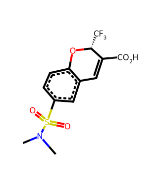 CN(C)S(=O)(=O)c1ccc2c(c1)C=C(C(=O)O)[C@@H](C(F)(F)F)O2